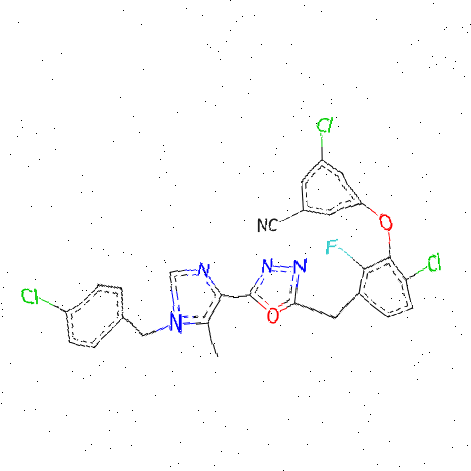 Cc1c(-c2nnc(Cc3ccc(Cl)c(Oc4cc(Cl)cc(C#N)c4)c3F)o2)ncn1Cc1ccc(Cl)cc1